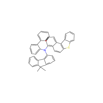 CC1(C)c2ccccc2-c2c(N(c3ccccc3-c3ccccc3)c3cccc4c3ccc3sc5ccccc5c34)cccc21